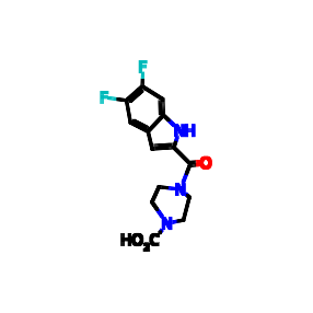 O=C(O)N1CCN(C(=O)c2cc3cc(F)c(F)cc3[nH]2)CC1